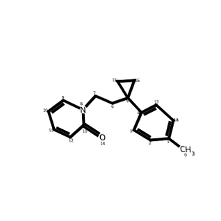 Cc1ccc(C2(CCn3ccccc3=O)CC2)cc1